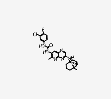 Cc1nc2nc(NC34BC(C)(CCC3)CCC4)cnc2cc1NC(=O)Nc1ccc(F)c(Cl)c1